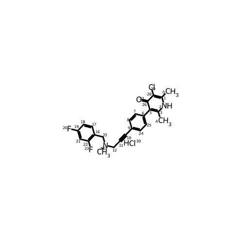 Cc1[nH]c(C)c(-c2ccc(C#CCN(C)Cc3ccc(F)cc3F)cc2)c(=O)c1Cl.Cl